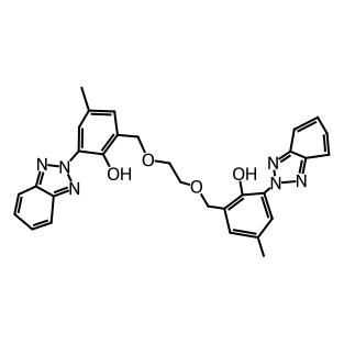 Cc1cc(COCCOCc2cc(C)cc(-n3nc4ccccc4n3)c2O)c(O)c(-n2nc3ccccc3n2)c1